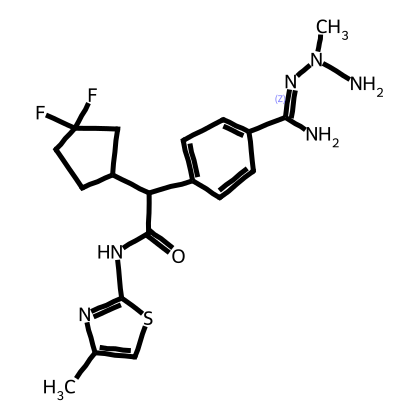 Cc1csc(NC(=O)C(c2ccc(/C(N)=N/N(C)N)cc2)C2CCC(F)(F)C2)n1